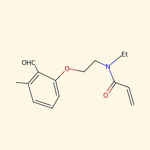 C=CC(=O)N(CC)CCOc1cccc(C)c1C=O